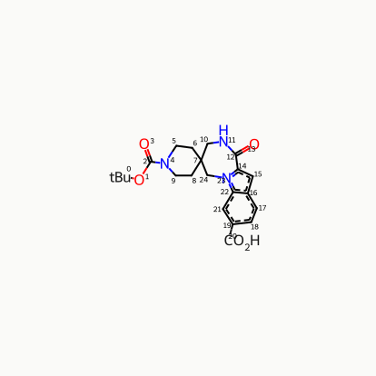 CC(C)(C)OC(=O)N1CCC2(CC1)CNC(=O)c1cc3ccc(C(=O)O)cc3n1C2